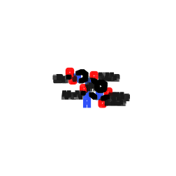 CNC(=O)NCCN1C(=O)C(NC)(NC)Oc2cc(NC)c(C(=O)N(C(C)C)[C@@H]3CCCN(OC(=O)C(C)(C)C)C3)cc21